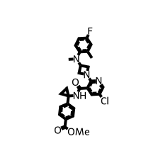 COC(=O)c1ccc(C2(NC(=O)c3cc(Cl)cnc3N3CC(N(C)c4ccc(F)cc4C)C3)CC2)cc1